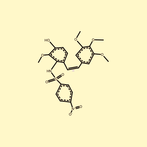 COc1cc(/C=C\c2ccc(O)c(OC)c2NS(=O)(=O)c2ccc([N+](=O)[O-])cc2)cc(OC)c1OC